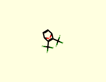 FC(F)(F)C1=C(C(F)(F)F)C2C=CC1O2